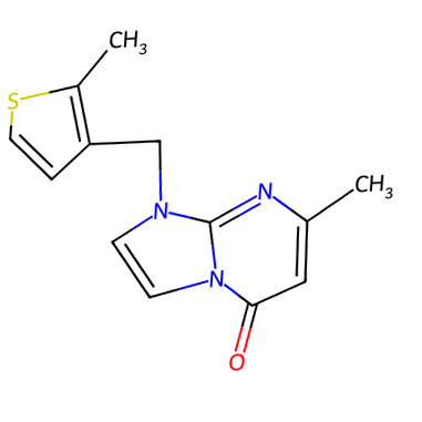 Cc1cc(=O)n2ccn(Cc3ccsc3C)c2n1